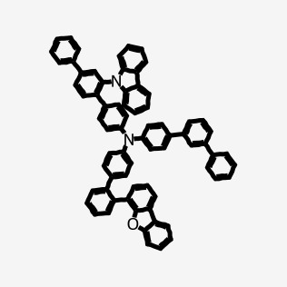 c1ccc(-c2cccc(-c3ccc(N(c4ccc(-c5ccccc5-c5cccc6c5oc5ccccc56)cc4)c4ccc(-c5ccc(-c6ccccc6)cc5-n5c6ccccc6c6ccccc65)cc4)cc3)c2)cc1